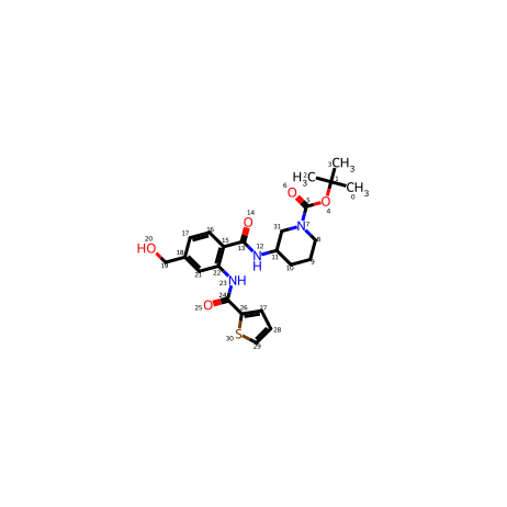 CC(C)(C)OC(=O)N1CCCC(NC(=O)c2ccc(CO)cc2NC(=O)c2cccs2)C1